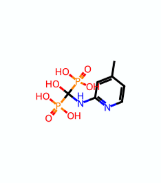 Cc1ccnc(NC(O)(P(=O)(O)O)P(=O)(O)O)c1